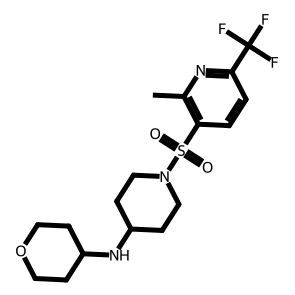 Cc1nc(C(F)(F)F)ccc1S(=O)(=O)N1CCC(NC2CCOCC2)CC1